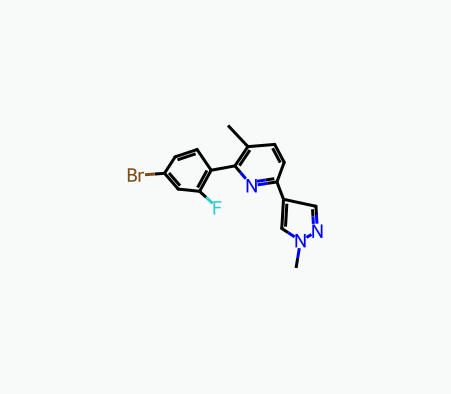 Cc1ccc(-c2cnn(C)c2)nc1-c1ccc(Br)cc1F